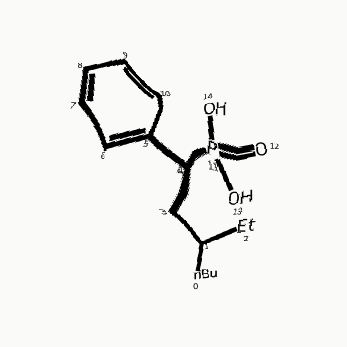 CCCCC(CC)CC(c1ccccc1)P(=O)(O)O